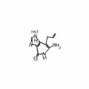 C=CCc1c(N)[nH]c(=O)c2nc[nH]c12.Cl